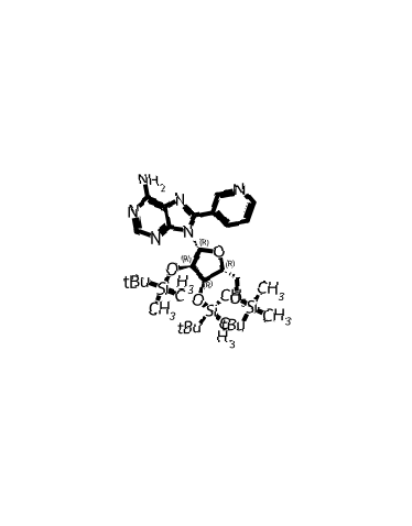 CC(C)(C)[Si](C)(C)OC[C@H]1O[C@@H](n2c(-c3cccnc3)nc3c(N)ncnc32)[C@H](O[Si](C)(C)C(C)(C)C)[C@@H]1O[Si](C)(C)C(C)(C)C